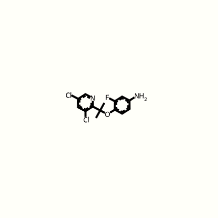 CC(C)(Oc1ccc(N)cc1F)c1ncc(Cl)cc1Cl